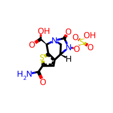 NC(=O)c1cc2c(s1)[C@@H](C(=O)O)N1C[C@@H]2N(OS(=O)(=O)O)C1=O